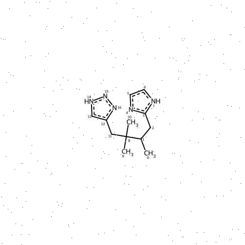 CC(Cc1ncc[nH]1)C(C)(C)Cc1c[nH]nn1